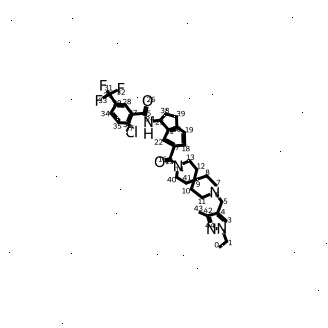 CCn1cc(CN2CCC3(CC2)CCN(C(=O)c2ccc4c(c2)C(NC(=O)c2cc(C(F)(F)F)ccc2Cl)CC4)CC3)c(C)n1